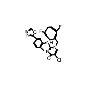 Cc1ccc(-c2nnco2)cc1Nc1nc(=O)c(Cl)cn1C/C1=C/C(F)=C\C/C(F)=C\C1